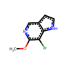 COc1ncc2cc[nH]c2c1Br